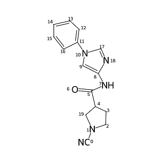 N#CN1CCC(C(=O)Nc2cn(-c3ccccc3)cn2)C1